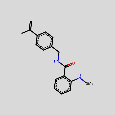 C=C(C)c1ccc(CNC(=O)c2ccccc2NSC)cc1